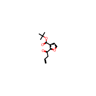 C=CCC(=O)c1occc1C(=O)OC(C)(C)C